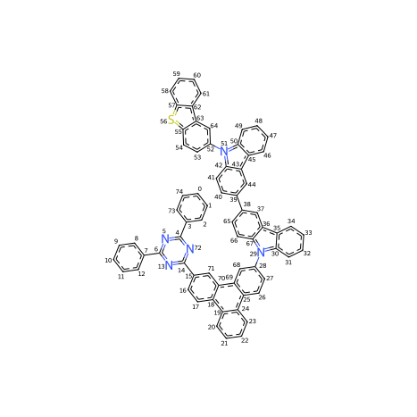 c1ccc(-c2nc(-c3ccccc3)nc(-c3ccc4c5ccccc5c5ccc(-n6c7ccccc7c7cc(-c8ccc9c(c8)c8ccccc8n9-c8ccc9sc%10ccccc%10c9c8)ccc76)cc5c4c3)n2)cc1